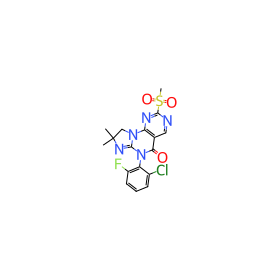 CC1(C)CN2C(=N1)N(c1c(F)cccc1Cl)C(=O)c1cnc(S(C)(=O)=O)nc12